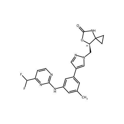 Cc1cc(Nc2nccc(C(F)F)n2)cc(-c2cnn(C[C@H]3OC(=O)NC34CC4)c2)c1